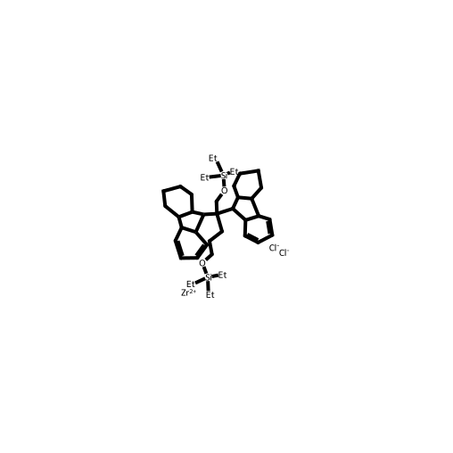 CC[Si](CC)(CC)OCCCC(CO[Si](CC)(CC)CC)(C1C2C=CC=CC2C2CCCCC21)C1C2C=CC=CC2C2CCCCC21.[Cl-].[Cl-].[Zr+2]